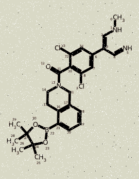 CN/C=C(\C=N)c1cc(Cl)c(C(=O)N2CCc3c(cccc3B3OC(C)(C)C(C)(C)O3)C2)c(Cl)c1